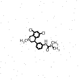 CN1Cc2c(Cl)cc(Cl)cc2C(c2cccc(NC(=O)N(C)C)c2)C1